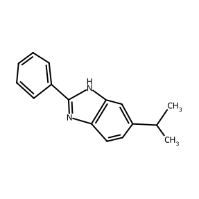 CC(C)c1ccc2nc(-c3ccccc3)[nH]c2c1